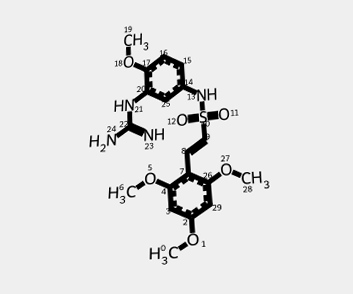 COc1cc(OC)c(C=CS(=O)(=O)Nc2ccc(OC)c(NC(=N)N)c2)c(OC)c1